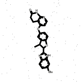 CC1c2cc(Oc3ccnc4c3CCC(=O)N4)ccc2OC1c1nc2ccc(C(C)(C)C)cc2[nH]1